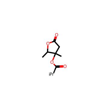 CC(C)C(=O)OC1(C)CC(=O)OC1C